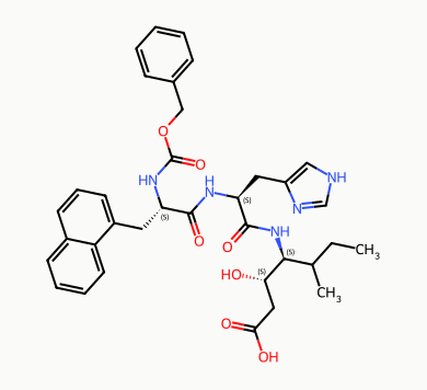 CCC(C)[C@H](NC(=O)[C@H](Cc1c[nH]cn1)NC(=O)[C@H](Cc1cccc2ccccc12)NC(=O)OCc1ccccc1)[C@@H](O)CC(=O)O